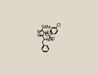 CCn1c(SC)nnc1C(Cc1ccccc1)NS(=O)(=O)c1ccc(Cl)cc1